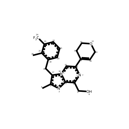 Cc1nc2c(CO)nc(C3=CCOCC3)cn2c1Cc1cccc(C(F)(F)F)c1C